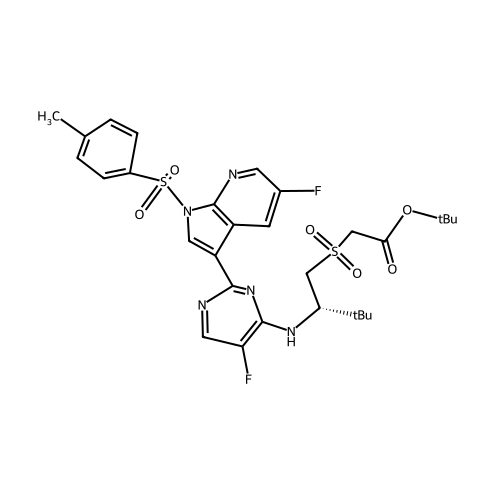 Cc1ccc(S(=O)(=O)n2cc(-c3ncc(F)c(N[C@H](CS(=O)(=O)CC(=O)OC(C)(C)C)C(C)(C)C)n3)c3cc(F)cnc32)cc1